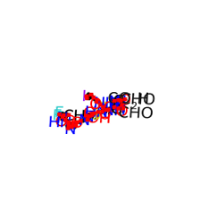 C#C[C@H]1CC(F)(F)CN1C(=O)CNC(=O)c1ccnc2ccc(OCCCN3CCN(C(=O)[C@H](O)CSCCNC(=O)[C@H](CSCCNC(=O)CCCc4ccc(I)cc4)NC(=O)CN4CCN(COC=O)CCN(COC=O)CCN(CC(=O)O)CC4)CC3)cc12